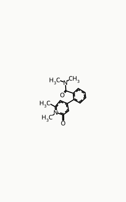 Cc1cc(-c2ccccc2C(=O)N(C)C)cc(=O)n1C